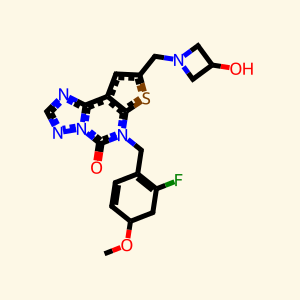 COC1C=CC(Cn2c(=O)n3ncnc3c3cc(CN4CC(O)C4)sc32)=C(F)C1